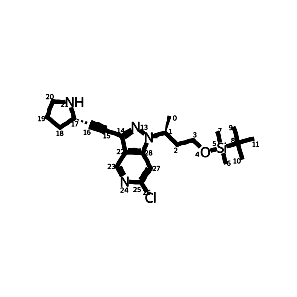 C[C@@H](CCO[Si](C)(C)C(C)(C)C)n1nc(C#C[C@@H]2CCCN2)c2cnc(Cl)cc21